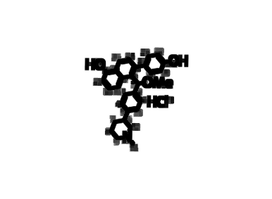 COC(c1ccc(C2CCCN(C)C2)cc1)c1c(-c2ccc(O)cc2)ccc2c(O)cccc12.Cl